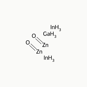 [GaH3].[InH3].[InH3].[O]=[Zn].[O]=[Zn]